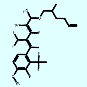 C=CCCC(C)COC(O)/C(=C(F)/C(=C(\C)c1ccc(OCC)c(F)c1C(C)(F)F)C(F)F)C(C)C